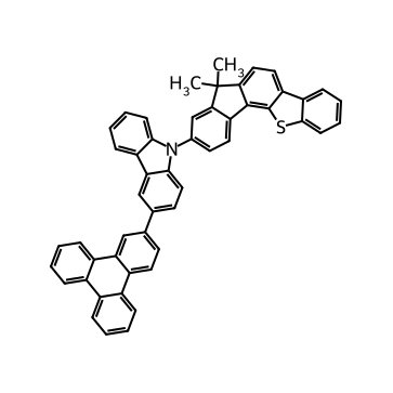 CC1(C)c2cc(-n3c4ccccc4c4cc(-c5ccc6c7ccccc7c7ccccc7c6c5)ccc43)ccc2-c2c1ccc1c2sc2ccccc21